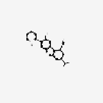 Cc1cc2c(cc1-c1cccc[n+]1C)oc1cc(C(C)C)cc(C#N)c12